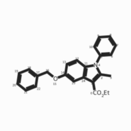 CCOC(=O)c1c(C)n(-c2ccccc2)c2ccc(OCc3ccccc3)cc12